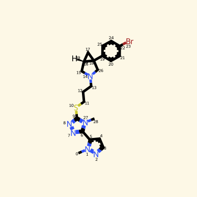 Cn1nccc1-c1nnc(SCCCN2C[C@@H]3CC3(c3ccc(Br)cc3)C2)n1C